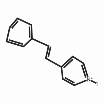 I[n+]1ccc(/C=C/c2ccccc2)cc1